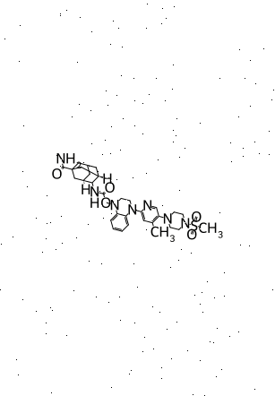 Cc1cc(N2CCN(OC(=O)NC3[C@@H]4CC5C[C@H]3CC(C(N)=O)(C5)C4)c3ccccc32)ncc1N1CCN(S(C)(=O)=O)CC1